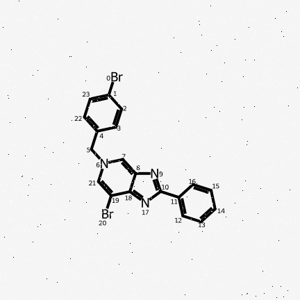 Brc1ccc(Cn2cc3nc(-c4ccccc4)nc-3c(Br)c2)cc1